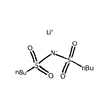 CCCCS(=O)(=O)[N-]S(=O)(=O)CCCC.[Li+]